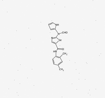 Cc1ccc(NC(=O)c2cnc(N(C=O)c3ccc[nH]3)[se]2)c(C)c1